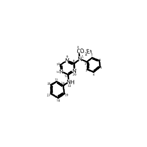 CCOC(=O)N(c1ccccc1)c1ncnc(Nc2ccccc2)n1